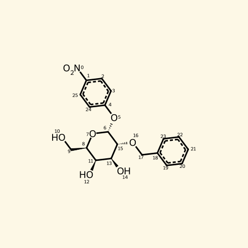 O=[N+]([O-])c1ccc(O[C@H]2O[C@H](CO)[C@H](O)[C@H](O)[C@H]2OCc2ccccc2)cc1